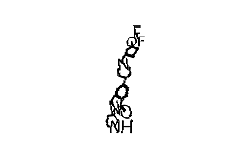 O=C1c2ccc(C3CCN(Cc4cccc(OC(F)F)c4)CC3)cc2CN1C1CCCNC1